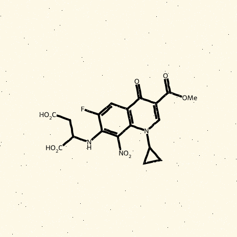 COC(=O)c1cn(C2CC2)c2c([N+](=O)[O-])c(NC(CC(=O)O)C(=O)O)c(F)cc2c1=O